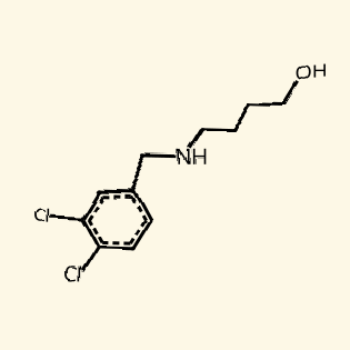 OCCCCNCc1ccc(Cl)c(Cl)c1